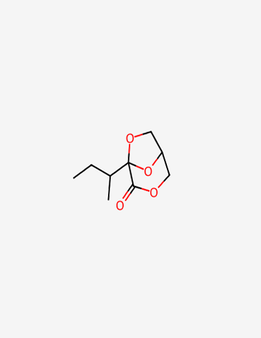 CCC(C)C12OCC(COC1=O)O2